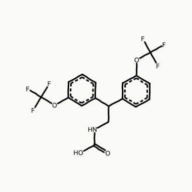 O=C(O)NCC(c1cccc(OC(F)(F)F)c1)c1cccc(OC(F)(F)F)c1